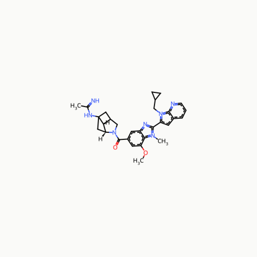 COc1cc(C(=O)N2CC3CC4(NC(C)=N)C[C@@H]2[C@@H]34)cc2nc(-c3cc4cccnc4n3CC3CC3)n(C)c12